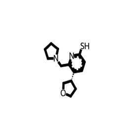 Sc1ccc([C@@H]2CCOC2)c(CN2CCCC2)n1